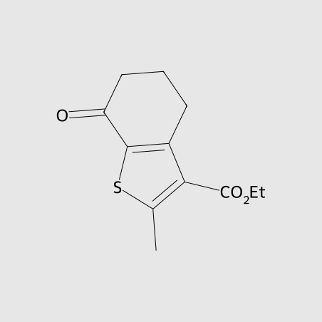 CCOC(=O)c1c(C)sc2c1CCCC2=O